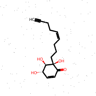 C#CCC/C=C\CCC[C@]1(O)C(=O)C=C[C@H](O)[C@H]1O